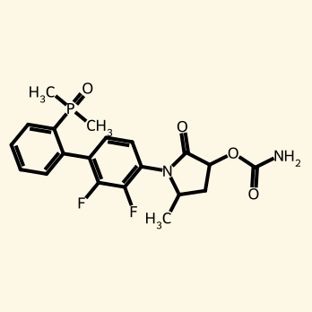 CC1CC(OC(N)=O)C(=O)N1c1ccc(-c2ccccc2P(C)(C)=O)c(F)c1F